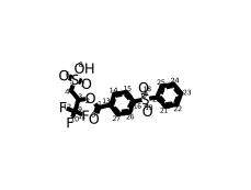 O=C(OC(CS(=O)(=O)O)C(F)(F)F)c1ccc(S(=O)(=O)c2ccccc2)cc1